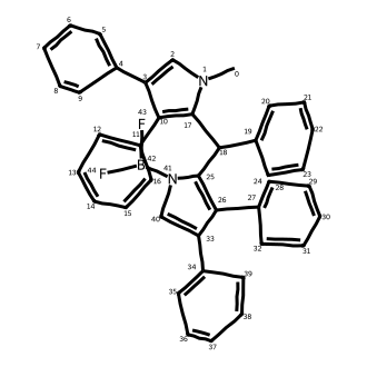 Cn1cc(-c2ccccc2)c(-c2ccccc2)c1C(c1ccccc1)c1c(-c2ccccc2)c(-c2ccccc2)cn1B(F)F